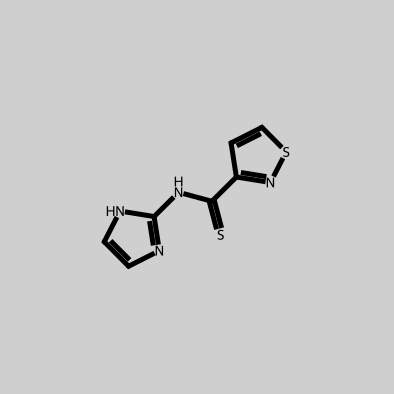 S=C(Nc1ncc[nH]1)c1ccsn1